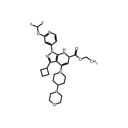 CCOC(=O)C1C=C(N2CCC(N3CCOCC3)CC2)c2c(C3CCC3)nn(-c3ccnc(OC(F)F)c3)c2N1